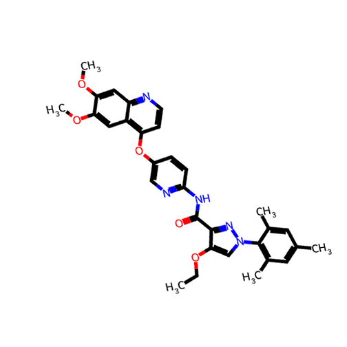 CCOc1cn(-c2c(C)cc(C)cc2C)nc1C(=O)Nc1ccc(Oc2ccnc3cc(OC)c(OC)cc23)cn1